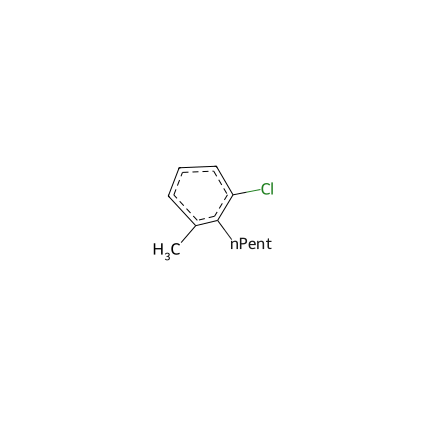 CCC[CH]Cc1c(C)cccc1Cl